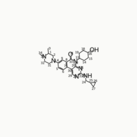 CC1CN(c2ccc3c(c2)c(=O)n(C2CCC(O)CC2)c2nc(NCC4CC4)ncc32)CCN1C